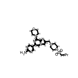 CC(C)CS(=O)(=O)N1CCN(Cc2cn3cc(-c4cnc(N)nc4)nc(N4CCOCC4)c3n2)CC1